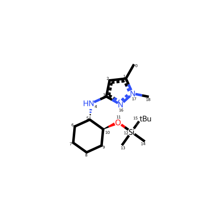 Cc1cc(N[C@H]2CCCC[C@@H]2O[Si](C)(C)C(C)(C)C)nn1C